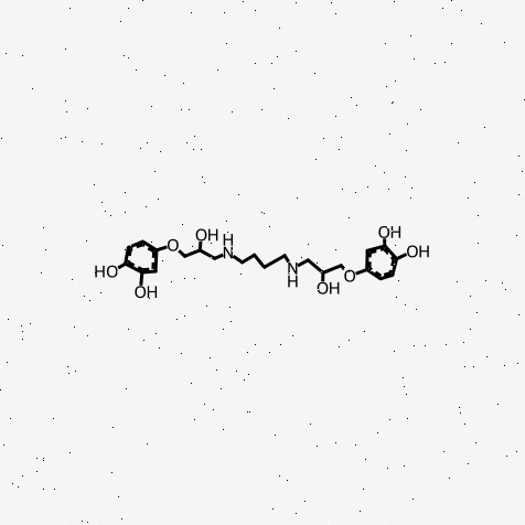 Oc1ccc(OCC(O)CNCCCCNCC(O)COc2ccc(O)c(O)c2)cc1O